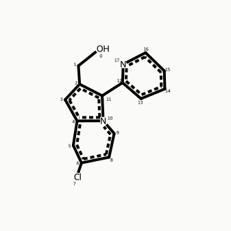 OCc1cc2cc(Cl)ccn2c1-c1ccccn1